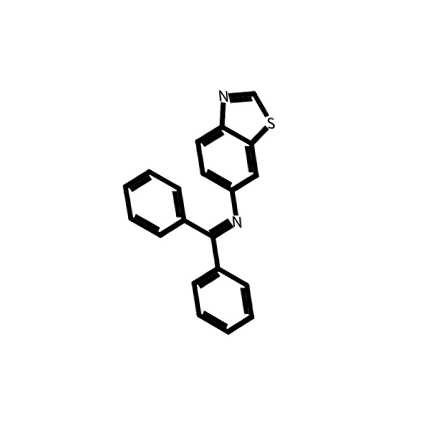 c1ccc(C(=Nc2ccc3ncsc3c2)c2ccccc2)cc1